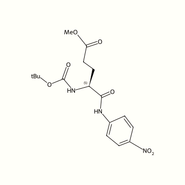 COC(=O)CC[C@H](NC(=O)OC(C)(C)C)C(=O)Nc1ccc([N+](=O)[O-])cc1